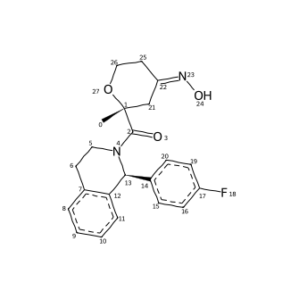 C[C@]1(C(=O)N2CCc3ccccc3[C@@H]2c2ccc(F)cc2)CC(=NO)CCO1